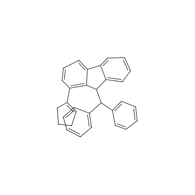 C1=C(c2cccc3c2C(C(c2ccccc2)c2ccccc2)c2ccccc2-3)CCC1